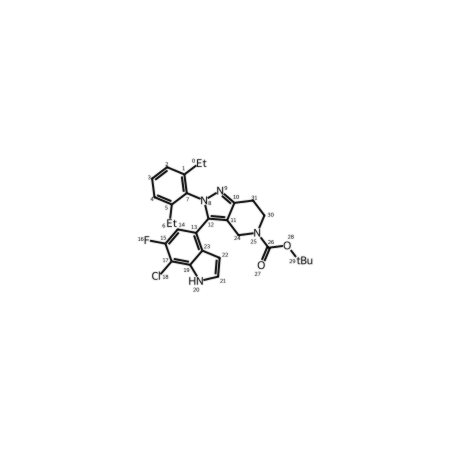 CCc1cccc(CC)c1-n1nc2c(c1-c1cc(F)c(Cl)c3[nH]ccc13)CN(C(=O)OC(C)(C)C)CC2